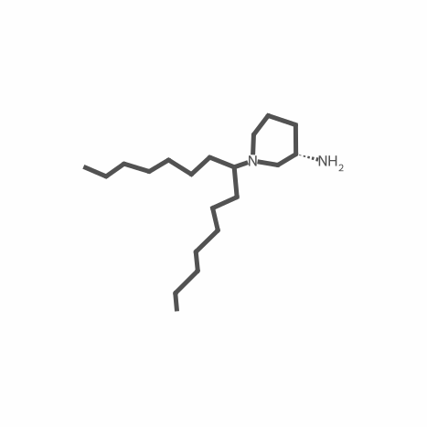 CCCCCCCC(CCCCCCC)N1CCC[C@H](N)C1